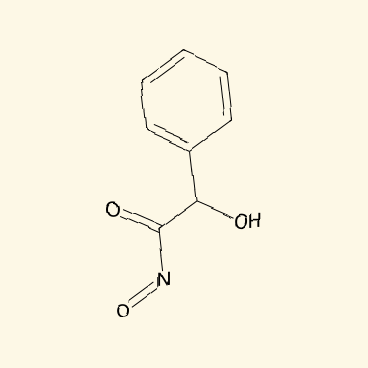 O=NC(=O)C(O)c1ccccc1